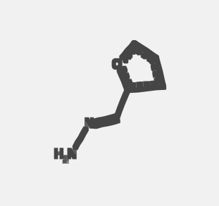 N/N=C/c1ccco1